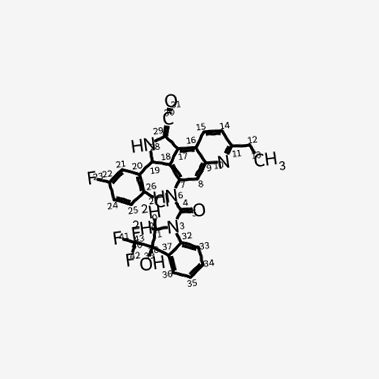 [2H]C1([2H])N(C(=O)Nc2cc3nc(CC)ccc3c3c2C(c2cc(F)ccc2Cl)NC3=C=O)c2ccccc2C1(O)C(F)(F)F